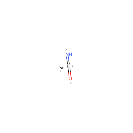 N=C=O.[Si]